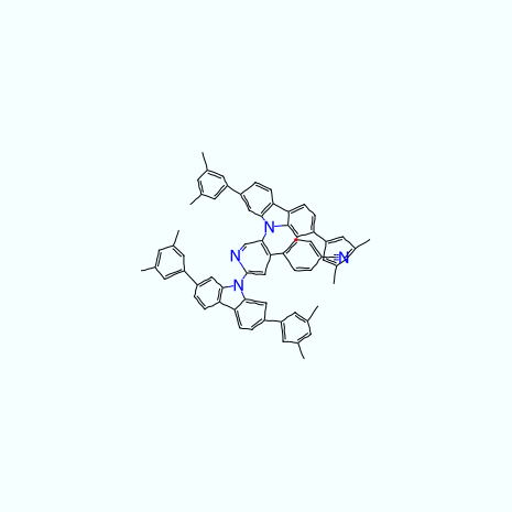 Cc1cc(C)cc(-c2ccc3c4ccc(-c5cc(C)cc(C)c5)cc4n(-c4cc(-c5ccc(C#N)cc5)c(-n5c6cc(-c7cc(C)cc(C)c7)ccc6c6ccc(-c7cc(C)cc(C)c7)cc65)cn4)c3c2)c1